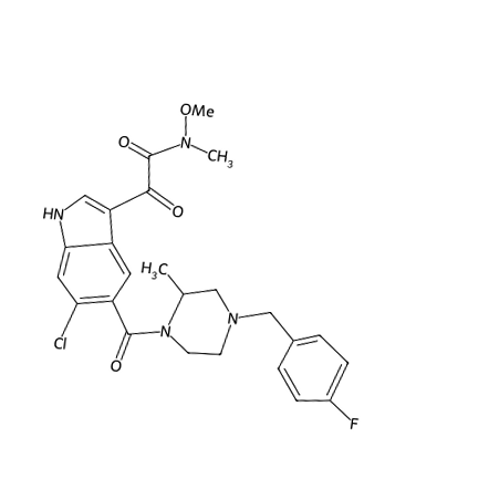 CON(C)C(=O)C(=O)c1c[nH]c2cc(Cl)c(C(=O)N3CCN(Cc4ccc(F)cc4)CC3C)cc12